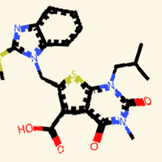 CSc1nc2ccccc2n1Cc1sc2c(c1C(=O)O)c(=O)n(C)c(=O)n2CC(C)C